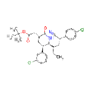 CCC(C[C@H](C#N)c1ccc(Cl)cc1)[C@@H]1NC(=O)[C@@H](CC(=O)OC(C)(C)C)C[C@@H]1c1cccc(Cl)c1